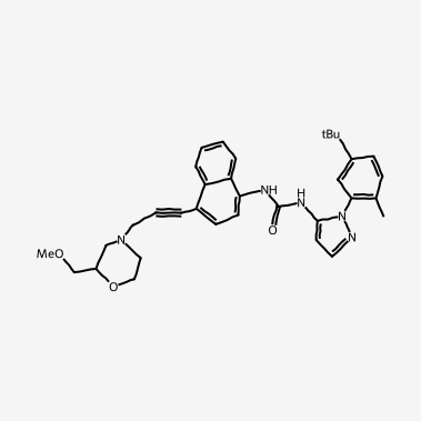 COCC1CN(CC#Cc2ccc(NC(=O)Nc3ccnn3-c3cc(C(C)(C)C)ccc3C)c3ccccc23)CCO1